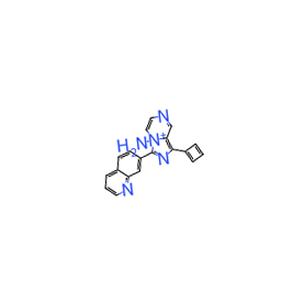 N[N+]12C=CN=CC1=C(C1=CC=C1)N=C2c1ccc2cccnc2c1